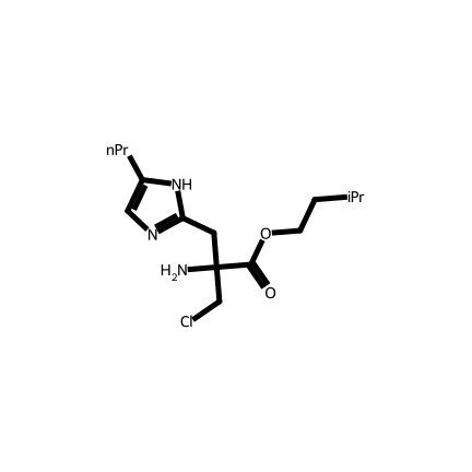 CCCc1cnc(CC(N)(CCl)C(=O)OCCC(C)C)[nH]1